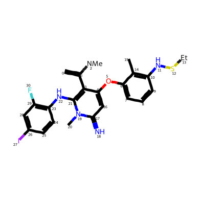 C=C(NC)c1c(Oc2cccc(NSCC)c2C)cc(=N)n(C)c1Nc1ccc(I)cc1F